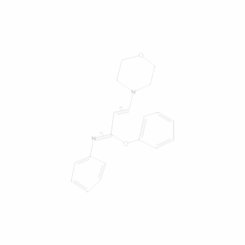 C(=C\N1CCOCC1)/C(=N/c1ccccc1)Oc1ccccc1